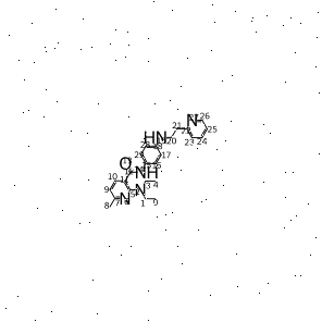 CCN(CC)c1nc(C)ccc1C(=O)Nc1ccc(NCCc2ccccn2)cc1